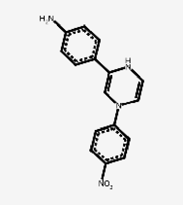 Nc1ccc(C2=CN(c3ccc([N+](=O)[O-])cc3)C=CN2)cc1